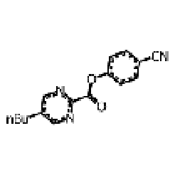 CCCCc1cnc(C(=O)Oc2ccc(C#N)cc2)nc1